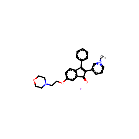 C[n+]1cccc(C2=C(c3ccccc3)c3ccc(OCCN4CCOCC4)cc3C2=O)c1.[I-]